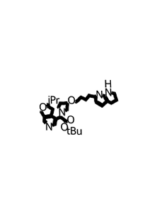 CC(C)C1Cc2c(cncc2C(C(=O)OC(C)(C)C)N2CCC(OCCCCc3ccc4c(n3)NCCC4)C2)CO1